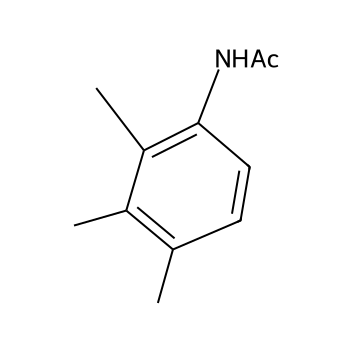 [CH2]C(=O)Nc1ccc(C)c(C)c1C